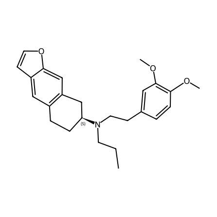 CCCN(CCc1ccc(OC)c(OC)c1)[C@H]1CCc2cc3ccoc3cc2C1